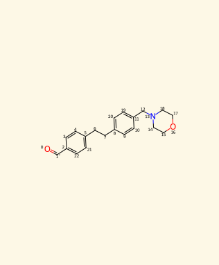 O=[C]c1ccc(CCc2ccc(CN3CCOCC3)cc2)cc1